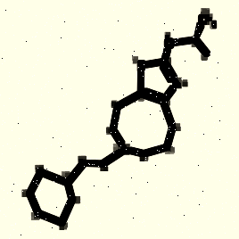 C[C@@H](Oc1nc2c(s1)CCN(CCC1CCCCC1)CCC2)C(F)(F)F